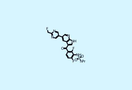 CCCS(=O)(=O)Nc1c(F)ccc(C(=O)c2c[nH]c3ncc(-c4cnc(CF)nc4)cc23)c1F